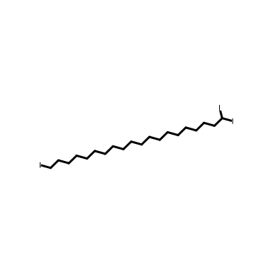 ICCCCCCCCCCCCCCCCCCCC(I)I